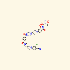 N#Cc1ccc(N2CCC3(CCN(C(=O)c4ccc(C(=O)N5CCN(C6CCN(c7ccc8c(c7)C(=O)N(C7CCC(=O)NC7=O)C8=O)CC6)CC5)cc4)CC3)C2)cc1Cl